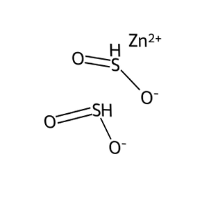 O=[SH][O-].O=[SH][O-].[Zn+2]